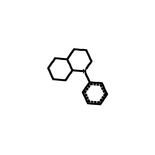 c1ccc(N2CCCC3CCCCC32)cc1